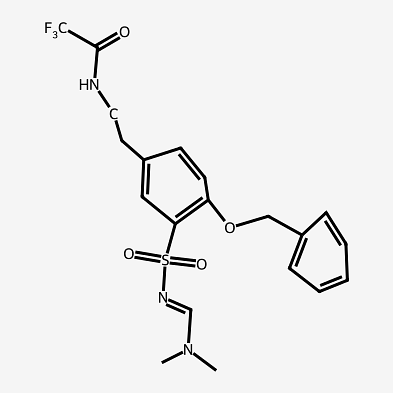 CN(C)C=NS(=O)(=O)c1cc(CCNC(=O)C(F)(F)F)ccc1OCc1ccccc1